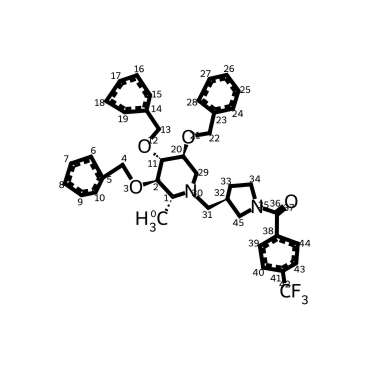 C[C@@H]1[C@@H](OCc2ccccc2)[C@H](OCc2ccccc2)[C@@H](OCc2ccccc2)CN1C[C@H]1CCN(C(=O)c2ccc(C(F)(F)F)cc2)C1